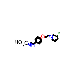 O=C(O)NCCc1ccc(OCCN2CCCC(F)C2)cc1